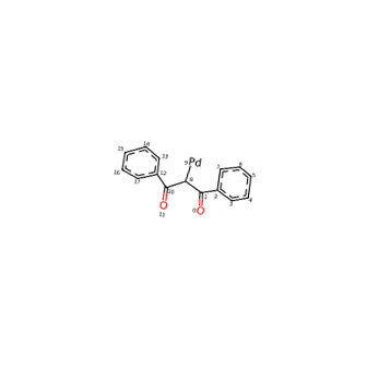 O=C(c1ccccc1)[CH]([Pd])C(=O)c1ccccc1